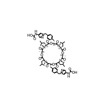 CC(C)C[C@H]1C(=O)O[C@H](Cc2ccc(Cn3cc(NC(=O)O)cn3)cc2)C(=O)N(C)[C@@H](CC(C)C)C(=O)O[C@H](C)C(=O)N(C)[C@@H](CC(C)C)C(=O)O[C@H](Cc2ccc(Cn3cc(NC(=O)O)cn3)cc2)C(=O)N(C)[C@@H](CC(C)C)C(=O)O[C@H](C)C(=O)N1C